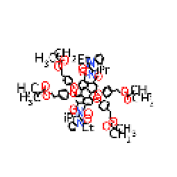 C=C(C)C(=O)OCCc1ccc(Oc2cc3c4c(cc(Oc5ccc(CCOC(=O)C(=C)C)cc5)c5c6c(Oc7ccc(CCOC(=O)C(=C)C)cc7)cc7c8c(cc(Oc9ccc(CCOC(=O)C(=C)C)cc9)c(c2c45)c86)C(=O)N(C(C(=O)N(CC)c2ccccc2)C(C)C)C7=O)C(=O)N(C(C(=O)N(CC)c2ccccc2)C(C)C)C3=O)cc1